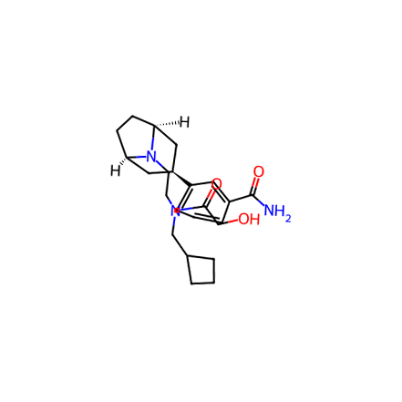 NC(=O)c1cccc([C@H]2C[C@H]3CC[C@@H](C2)N3CCN(CC2CCC2)C(=O)CO)c1